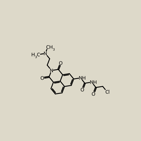 CN(C)CCN1C(=O)c2cccc3cc(NC(=O)NC(=O)CCl)cc(c23)C1=O